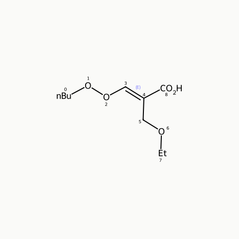 CCCCOO/C=C(\COCC)C(=O)O